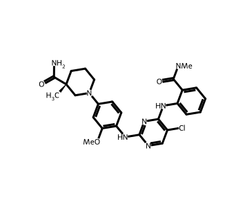 CNC(=O)c1ccccc1Nc1nc(Nc2ccc(N3CCC[C@@](C)(C(N)=O)C3)cc2OC)ncc1Cl